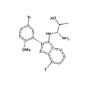 COc1ccc(Br)cc1-c1sc2c(F)cccc2c1NC(N)C(C)O